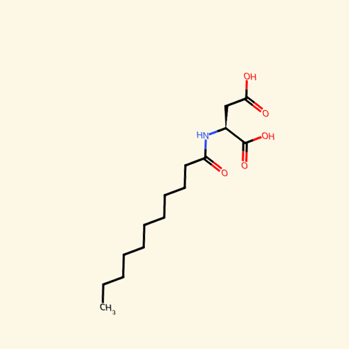 CCCCCCCCCCC(=O)N[C@@H](CC(=O)O)C(=O)O